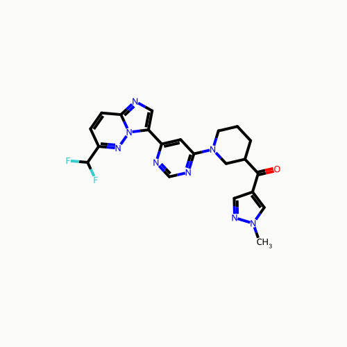 Cn1cc(C(=O)C2CCCN(c3cc(-c4cnc5ccc(C(F)F)nn45)ncn3)C2)cn1